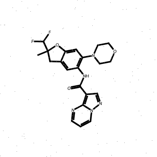 CC1(C(F)F)Cc2cc(NC(=O)c3cnn4cccnc34)c(N3CCOCC3)cc2O1